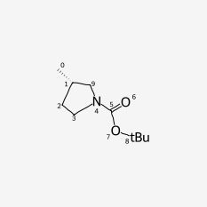 C[C@H]1CCN(C(=O)OC(C)(C)C)C1